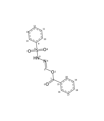 O=C(OC=NNS(=O)(=O)c1ccccc1)c1ccccc1